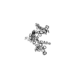 COc1cc2c(cc1OCc1ccnc(COc3cc4c(cc3OC)C(=O)N3Cc5ccccc5CC3C(O)N4C(=O)OCc3ccc(NC(=O)[C@H](C)NC(=O)[C@@H](NC(=O)CCCCCN4C(=O)C=CC4=O)C(C)C)cc3)c1)N=C[C@@H]1Cc3ccccc3CN1C2=O